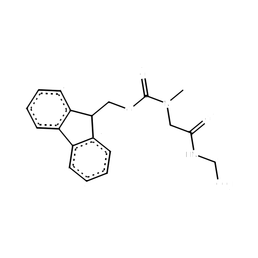 CN(CC(=O)NCC(=O)O)C(=O)OCC1c2ccccc2-c2ccccc21